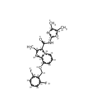 Cc1nc(NC(=O)c2c(C)nc3c(OCc4c(F)cccc4F)cccn23)oc1C